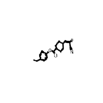 CCc1ccc(OC(=O)C2CCC(/C=C(/F)C#N)CC2)cc1